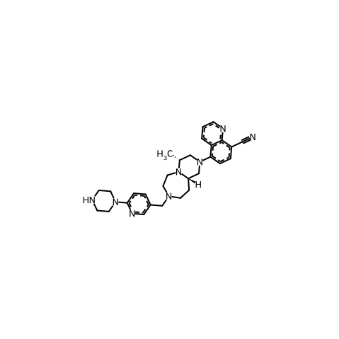 C[C@@H]1CN(c2ccc(C#N)c3ncccc23)C[C@@H]2CCN(Cc3ccc(N4CCNCC4)nc3)CCN21